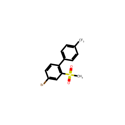 CS(=O)(=O)c1cc(Br)ccc1-c1ccc(C(F)(F)F)cc1